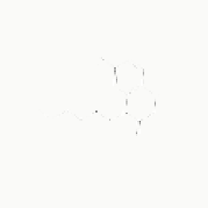 COCCCCN1C(=O)COc2ccc(N)cc21